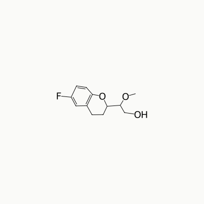 COC(CO)C1CCc2cc(F)ccc2O1